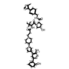 Cc1ncsc1-c1ccc(CNC(=O)[C@@H]2C[C@@H](O)CN2C(=O)[C@@H](NC(=O)CCN2CCC(n3cc(-c4cc(-c5ccccc5O)nnc4N)cn3)CC2)C(C)(C)C)cc1